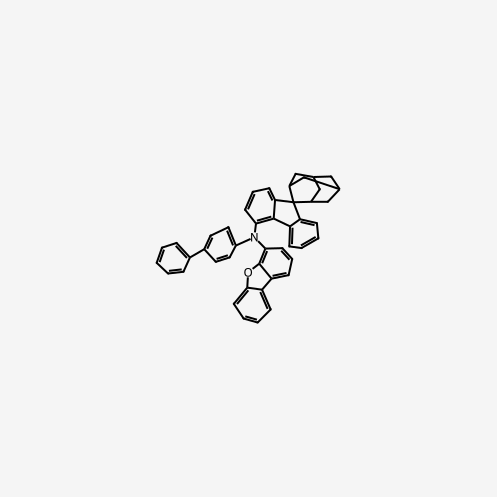 c1ccc(-c2ccc(N(c3cccc4c3-c3ccccc3C43C4CC5CC(C4)CC3C5)c3cccc4c3oc3ccccc34)cc2)cc1